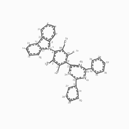 Fc1c(F)c(-n2c3ccccc3c3ccccc32)c(F)c(F)c1-c1nc(-c2ccccc2)nc(-c2ccccc2)n1